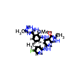 COc1c(Nc2cc(Nc3cc(C)c(F)cn3)nc3[nH]n(C)c(=O)c23)cccc1/C(N)=N/N(C)N